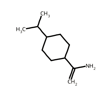 C=C(N)C1CCC(C(C)C)CC1